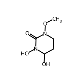 CON1CCC(O)N(O)C1=O